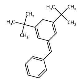 CC(C)(C)C1=CC(=Cc2ccccc2)C=C(C(C)(C)C)C1